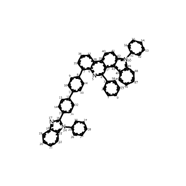 c1ccc(-c2nc3c(-c4ccc(-c5ccc(-c6nc7ccccc7n6-c6ccccc6)cc5)cc4)cccc3c3ccc4c(c5ccccc5n4-c4ccccc4)c23)cc1